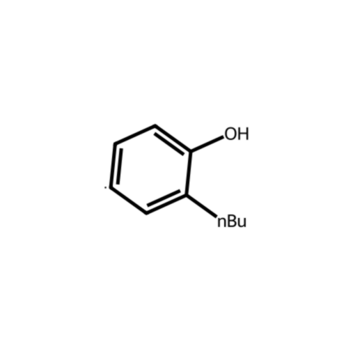 CCCCc1c[c]ccc1O